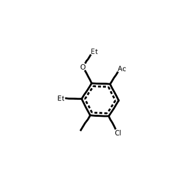 CCOc1c(C(C)=O)cc(Cl)c(C)c1CC